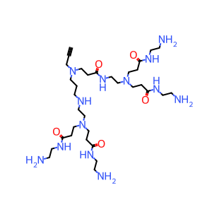 C#CCN(CCCNCCN(CCC(=O)NCCN)CCC(=O)NCCN)CCC(=O)NCCN(CCC(=O)NCCN)CCC(=O)NCCN